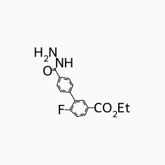 CCOC(=O)c1ccc(F)c(-c2ccc(C(=O)NN)cc2)c1